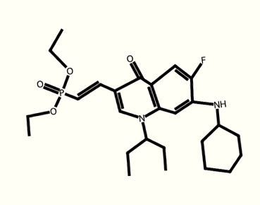 CCOP(=O)(/C=C/c1cn(C(CC)CC)c2cc(NC3CCCCC3)c(F)cc2c1=O)OCC